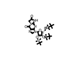 CC(C)(C)[Si](C)(C)OC[C@H]1O[C@@H](n2cnc3c(=O)n4c(nc32)NC(=O)C4)[C@H](O[Si](C)(C)C(C)(C)C)[C@@H]1O[Si](C)(C)C(C)(C)C